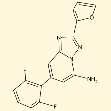 Nc1cc(-c2c(F)cccc2F)cc2nc(-c3ccco3)nn12